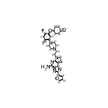 Nc1nc2c(c3nc(-c4ccco4)nn13)SCN2CCN1CCN(c2cc(OC3CC[S+]([O-])CC3)c(F)cc2F)CC1